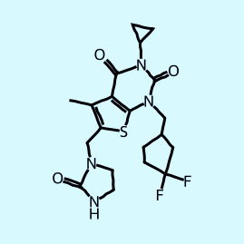 Cc1c(CN2CCNC2=O)sc2c1c(=O)n(C1CC1)c(=O)n2CC1CCC(F)(F)C1